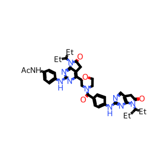 CCC(CC)N1C(=O)Cc2cnc(Nc3ccc(C(=O)N4CCOC(c5nc(Nc6ccc(NC(C)=O)cc6)nc6c5CC(=O)N6C(CC)CC)C4)cc3)nc21